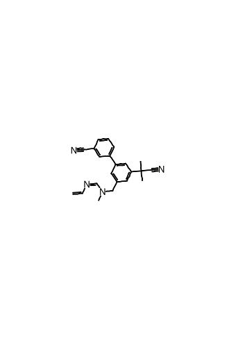 C=C/N=C\N(C)Cc1cc(-c2cccc(C#N)c2)cc(C(C)(C)C#N)c1